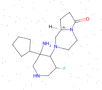 NC1(C2CCCC2)CNCC(F)C1N1CCN2C(=O)CC[C@@H]2C1